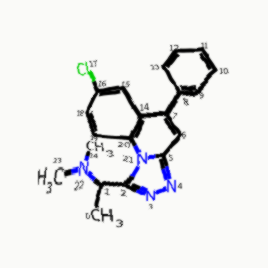 CC(c1nnc2cc(-c3ccccc3)c3cc(Cl)ccc3n12)N(C)C